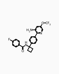 Nc1cc(OC(F)(F)F)cnc1-c1ccc(C2(NC(=O)c3ccc(F)cc3)CCC2)cc1